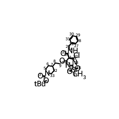 CC(C)(C)OC(=O)N1CCC(CCOc2nc(S(C)(=O)=O)nc(Cl)c2C(=O)NCc2ccccc2)CC1